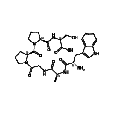 C[C@H](NC(=O)[C@@H](N)Cc1c[nH]c2ccccc12)C(=O)NCC(=O)N1CCC[C@H]1C(=O)N1CCC[C@H]1C(=O)N[C@@H](CO)C(=O)O